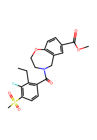 CCc1c(C(=O)N2CCOc3ccc(C(=O)OC)cc3C2)ccc(S(C)(=O)=O)c1F